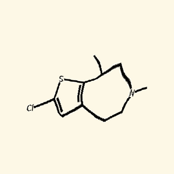 CC1CN(C)CCc2cc(Cl)sc21